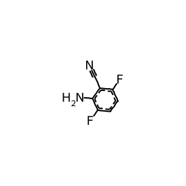 N#Cc1c(F)ccc(F)c1N